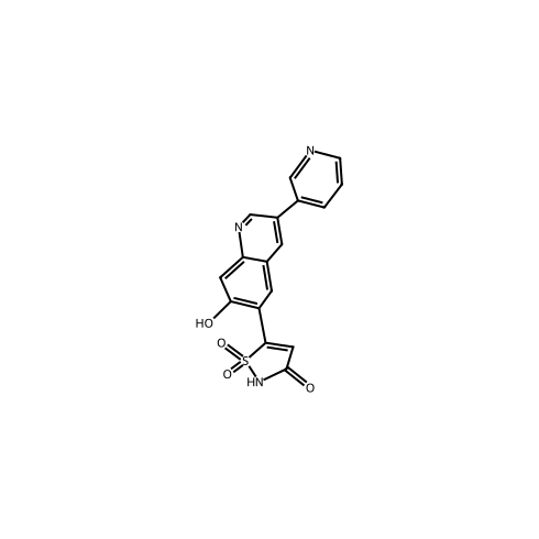 O=C1C=C(c2cc3cc(-c4cccnc4)cnc3cc2O)S(=O)(=O)N1